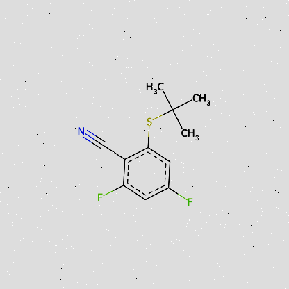 CC(C)(C)Sc1cc(F)cc(F)c1C#N